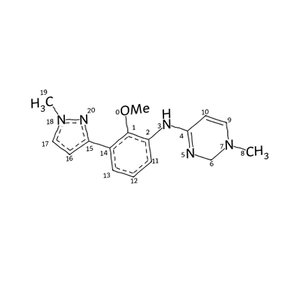 COc1c(NC2=NCN(C)C=C2)cccc1-c1ccn(C)n1